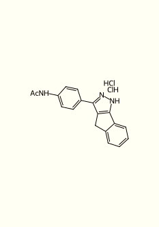 CC(=O)Nc1ccc(-c2n[nH]c3c2Cc2ccccc2-3)cc1.Cl.Cl